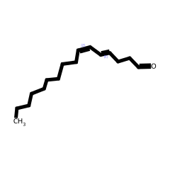 CCCCCCCCC/C=C\C=C\CCC=O